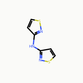 c1cc(Nc2ccsn2)ns1